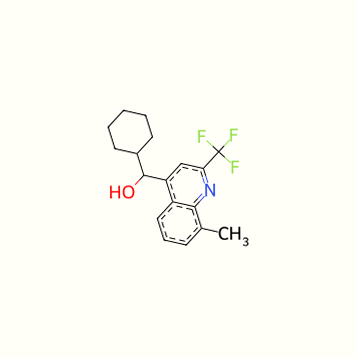 Cc1cccc2c(C(O)C3CCCCC3)cc(C(F)(F)F)nc12